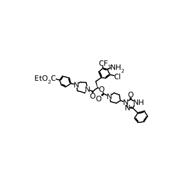 CCOC(=O)c1ccc(N2CCN(C(=O)[C@@H](Cc3cc(Cl)c(N)c(C(F)(F)F)c3)OC(=O)N3CCC(n4nc(-c5ccccc5)[nH]c4=O)CC3)CC2)cc1